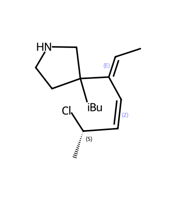 C/C=C(\C=C/[C@H](C)Cl)C1(C(C)CC)CCNC1